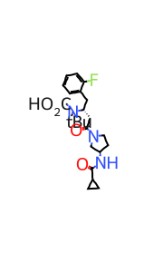 CC(C)(C)N(C(=O)O)[C@@H](CC(=O)N1CC[C@@H](NC(=O)C2CC2)C1)Cc1ccccc1F